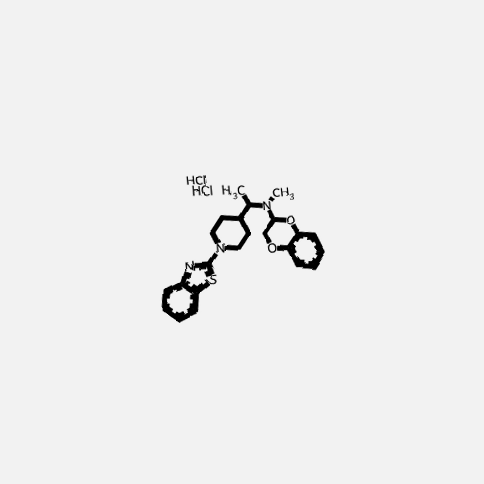 CC(C1CCN(c2nc3ccccc3s2)CC1)N(C)C1COc2ccccc2O1.Cl.Cl